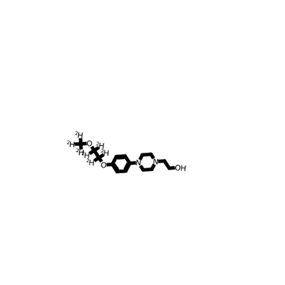 [2H]C([2H])([2H])OC([2H])([2H])C([2H])([2H])Oc1ccc(N2CCN(CCO)CC2)cc1